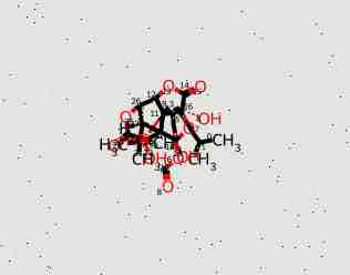 CC(C)[C@@]1(O)C(OC=O)[C@H](O)C23C4OC(=O)C21O[C@H](O)C31[C@@H](O)C(=O)OC4[C@H]1C(C)(C)C